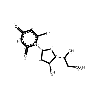 O=C(O)CC(O)[C@H]1O[C@@H](n2c(I)cc(=O)[nH]c2=O)C[C@@H]1O